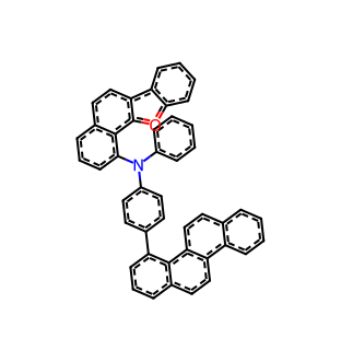 c1ccc(N(c2ccc(-c3cccc4ccc5c6ccccc6ccc5c34)cc2)c2cccc3ccc4c5ccccc5oc4c23)cc1